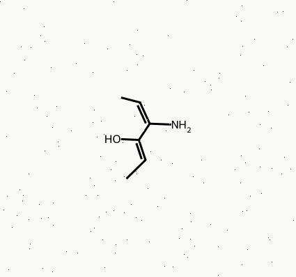 CC=C(O)/C(N)=C\C